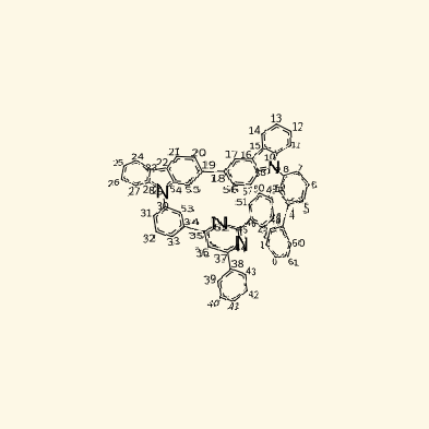 c1ccc(-c2cccc(-n3c4ccccc4c4cc(-c5ccc6c7ccccc7n(-c7cccc(-c8cc(-c9ccccc9)nc(-c9ccccc9)n8)c7)c6c5)ccc43)c2)cc1